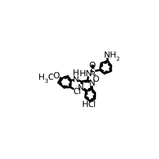 COc1ccc(Cl)c(Nc2nc3ccccc3nc2NS(=O)(=O)c2cccc(N)c2)c1.Cl